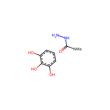 CNC(=O)NN.Oc1cccc(O)c1O